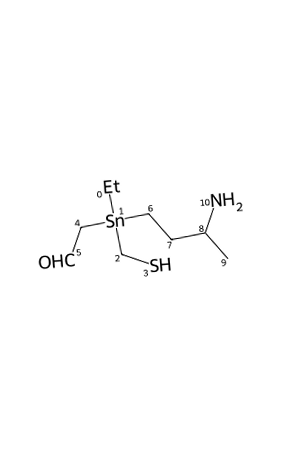 C[CH2][Sn]([CH2]S)([CH2]C=O)[CH2]CC(C)N